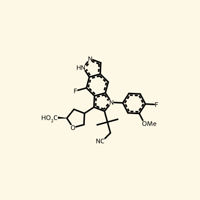 COc1cc(-n2c(C(C)(C)CC#N)c(C3CO[C@@H](C(=O)O)C3)c3c(F)c4[nH]ncc4cc32)ccc1F